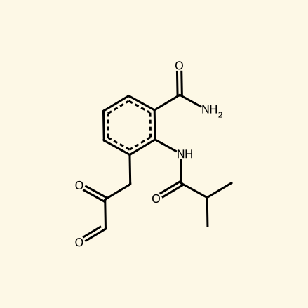 CC(C)C(=O)Nc1c(CC(=O)C=O)cccc1C(N)=O